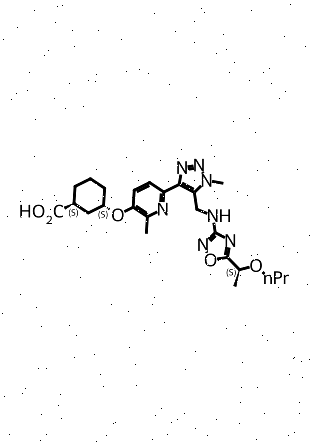 CCCO[C@@H](C)c1nc(NCc2c(-c3ccc(O[C@H]4CCC[C@H](C(=O)O)C4)c(C)n3)nnn2C)no1